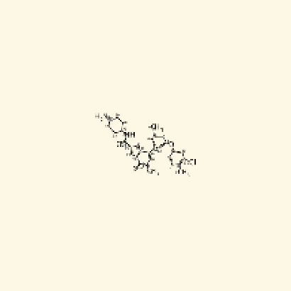 Cc1cc(Oc2ccc(C)c(Cl)c2)cc(-c2cn(C)c(=O)c3cc(C(=O)NC4CCC(N)CC4)sc23)c1